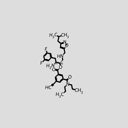 C#Cc1cc(C(=O)O[C@H](CNCc2cc(CC(C)C)no2)[C@@H](N)Cc2cc(F)cc(F)c2)cc(C(=O)N(CCC)CCC)c1